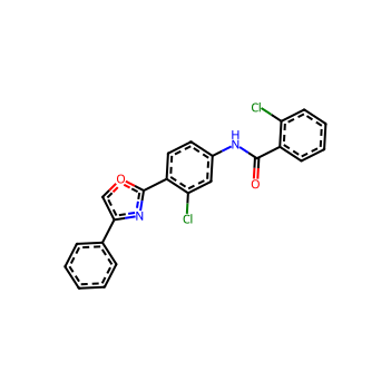 O=C(Nc1ccc(-c2nc(-c3ccccc3)co2)c(Cl)c1)c1ccccc1Cl